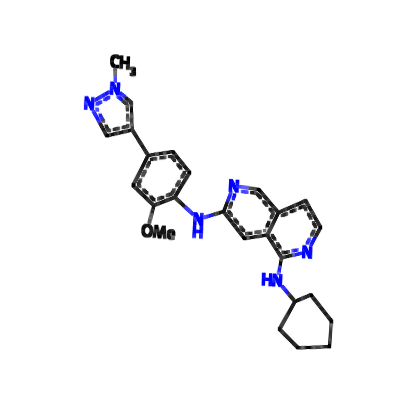 COc1cc(-c2cnn(C)c2)ccc1Nc1cc2c(NC3CCCCC3)nccc2cn1